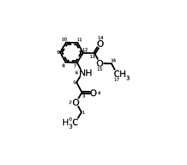 CCOC(=O)CNc1ccccc1C(=O)OCC